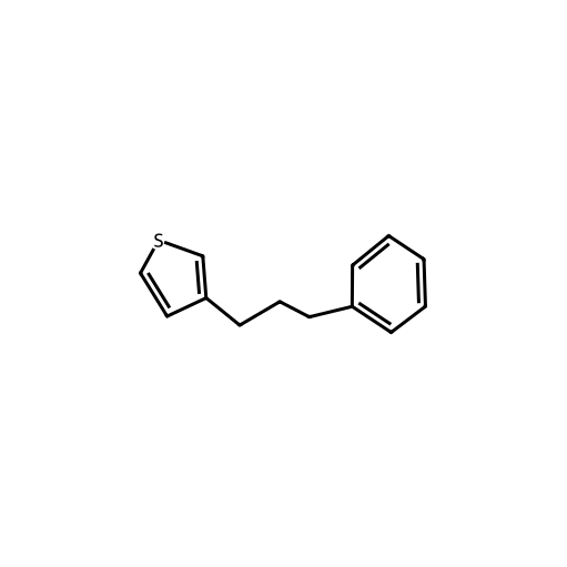 c1ccc(CCCc2ccsc2)cc1